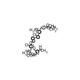 CNc1cncc(COc2nc(O[C@H]3CCc4c(-c5cccc(-c6ccc(CN7CCN(C(=O)OC(C)(C)C)CC7)c(OC)n6)c5Cl)cccc43)c(Cl)cc2CNC(C)(CO)C(=O)O)c1